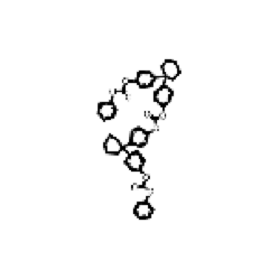 O=C(Oc1ccccc1)Oc1ccc(C2(c3ccc(OC(=O)Oc4ccc(C5(c6ccc(OC(=O)Oc7ccccc7)cc6)CCCCC5)cc4)cc3)CCCCC2)cc1